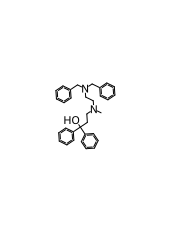 CN(CCN(Cc1ccccc1)Cc1ccccc1)CCC(O)(c1ccccc1)c1ccccc1